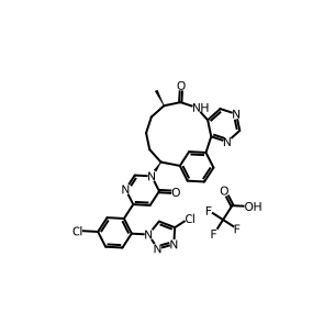 C[C@@H]1CCC[C@H](n2cnc(-c3cc(Cl)ccc3-n3cc(Cl)nn3)cc2=O)c2cccc(c2)-c2ncncc2NC1=O.O=C(O)C(F)(F)F